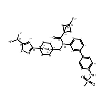 CS(=O)(=O)Nc1ccc(-c2cccc(N(CC34CCC(c5noc(C(F)F)n5)(CC3)CC4)C(=O)C34CC(F)(C3)C4)c2)cc1